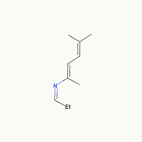 CC/C=N\C(C)=C\C=C(C)C